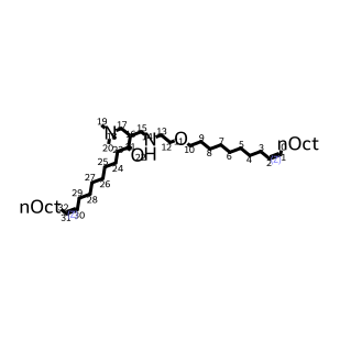 CCCCCCCC/C=C\CCCCCCCCOCCNCC(CN(C)C)C(=O)CCCCCCC/C=C\CCCCCCCC